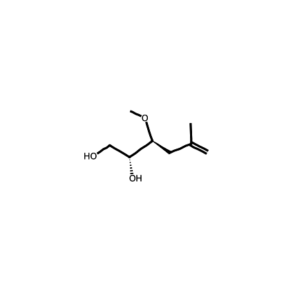 C=C(C)C[C@H](OC)[C@H](O)CO